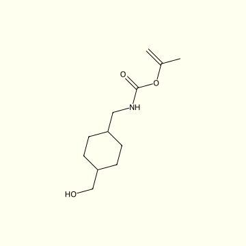 C=C(C)OC(=O)NCC1CCC(CO)CC1